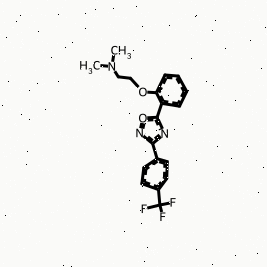 CN(C)CCOc1ccccc1-c1nc(-c2ccc(C(F)(F)F)cc2)no1